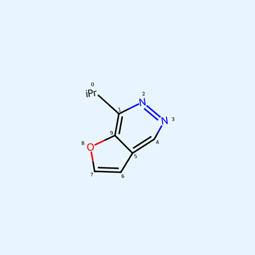 CC(C)c1nncc2ccoc12